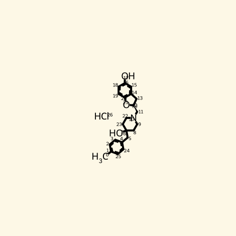 Cc1ccc(CC2(O)CCN(C[C@@H]3Cc4cc(O)ccc4O3)CC2)cc1.Cl